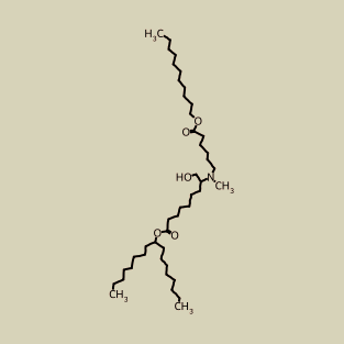 CCCCCCCCCCCOC(=O)CCCCCN(C)C(CO)CCCCCCC(=O)OC(CCCCCCCC)CCCCCCCC